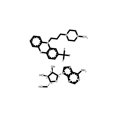 CN1CCN(CCCN2c3ccccc3Sc3ccc(C(F)(F)F)cc32)CC1.Nc1ncnc2c1ncn2[C@@H]1O[C@H](CO)[C@@H](O)[C@H]1O